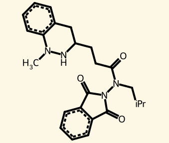 CC(C)CN(C(=O)CCC1Cc2ccccc2N(C)N1)N1C(=O)c2ccccc2C1=O